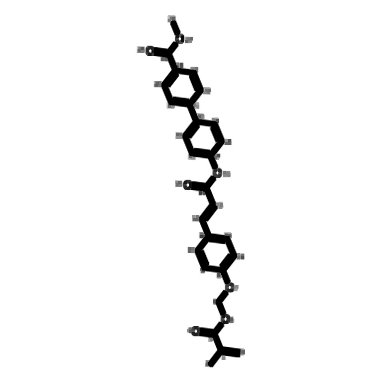 C=C(C)C(=O)OCOc1ccc(C=CC(=O)Oc2ccc(-c3ccc(C(=O)OC)cc3)cc2)cc1